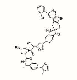 Cc1ncsc1-c1ccc(C(C)NC(=O)[C@@H]2C[C@@H](O)CN2C(=O)C(c2cc(C3CCN(C(=O)[C@@]4(N)CCc5[nH]c6nnc(-c7ccccc7O)cc6c5C4)CC3)no2)C(C)C)cc1